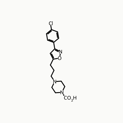 O=C(O)N1CCN(CCCc2cc(-c3ccc(Cl)cc3)no2)CC1